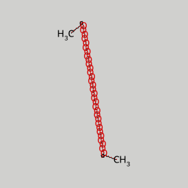 CCCCCCCCCc1ccccc1OCCOCCOCCOCCOCCOCCOCCOCCOCCOCCOCCOCCOCCOCCOCCOCCOCCOCCOCCOCCOCCOCCOCCOCCOCCOCCOCCOCCOCCOCCOc1ccccc1CCCCCCCCC